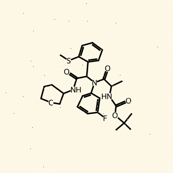 CSc1ccccc1C(C(=O)NC1CCCCC1)N(C(=O)C(C)NC(=O)OC(C)(C)C)c1cccc(F)c1